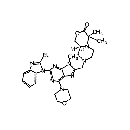 CCc1nc2ccccc2n1-c1nc(N2CCOCC2)c2nc(CN3CCN4[C@H](COC(=O)C4(C)C)C3)n(C)c2n1